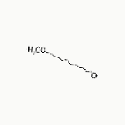 [CH2]OCCCCCCCCCCCC[O]